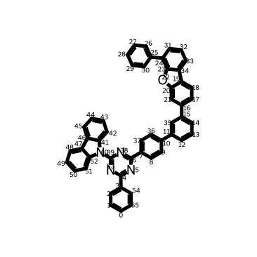 c1ccc(-c2nc(-c3ccc(-c4cccc(-c5ccc6c(c5)oc5c(-c7ccccc7)cccc56)c4)cc3)nc(-n3c4ccccc4c4ccccc43)n2)cc1